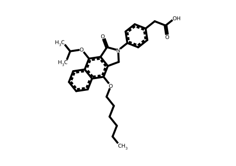 CCCCCCOc1c2c(c(OC(C)C)c3ccccc13)C(=O)N(c1ccc(CC(=O)O)cc1)C2